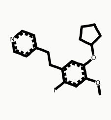 COc1cc(I)c(CCc2ccncc2)cc1OC1CCCC1